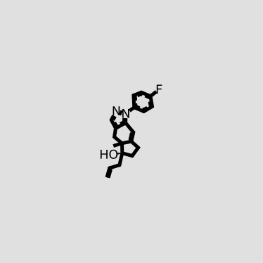 C=CC[C@]1(O)CCC2=Cc3c(cnn3-c3ccc(F)cc3)CC21C